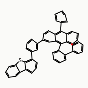 c1ccc(-c2ccccc2-c2c3ccccc3c(-c3ccccc3)c3ccc(-c4cccc(-c5cccc6c5sc5ccccc56)c4)cc23)cc1